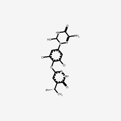 CC(C)[C@@H](C)c1cc(Oc2c(Cl)cc(N3N=C(N)C(=O)NC3O)cc2Cl)n[nH]c1=O